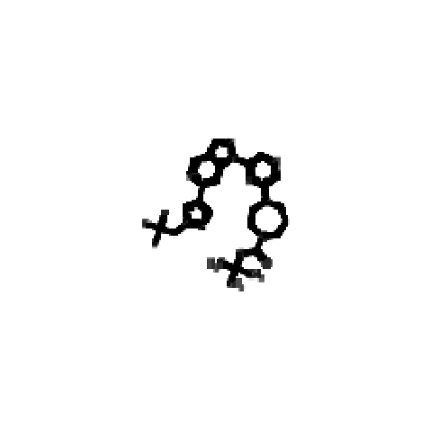 CC(C)(C)OC(=O)N1CCCN(c2cncc(-n3ncc4cnc(-c5cnn(CC(F)(F)F)c5)cc43)n2)CC1